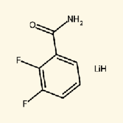 NC(=O)c1cccc(F)c1F.[LiH]